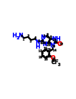 NCCCCNc1ncc2[nH]c(=O)n(Cc3ccccc3OC(F)(F)F)c2n1